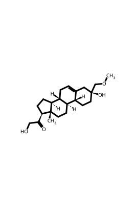 COC[C@]1(O)CC[C@H]2C(=CC[C@@H]3[C@@H]2CC[C@]2(C)[C@@H](C(=O)CO)CC[C@@H]32)C1